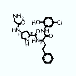 NCC(=O)N[C@H]1CN[C@H](C(=O)N[C@H](CCc2ccccc2)C(=O)Nc2cc(Cl)ccc2O)C1